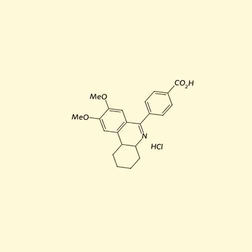 COc1cc2c(cc1OC)C1CCCCC1N=C2c1ccc(C(=O)O)cc1.Cl